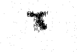 COc1ccc(COC(=O)NC(C(=O)N[C@@H]2C(=O)N3C(C(=O)O)=C(CSc4nnnn4C)CSC23)c2csc(=N)[nH]2)cc1